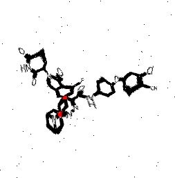 N#Cc1ccc(OC2CCC(NC(=O)c3ccc(N4C5CC4CN(Cc4cc(F)c6c(c4)CN(C4CCC(=O)NC4=O)C6=O)C5)nn3)CC2)cc1Cl